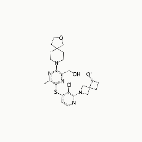 Cc1nc(N2CCC3(CCOC3)CC2)c(CO)nc1Sc1ccnc(N2CC3(CC[S+]3[O-])C2)c1Cl